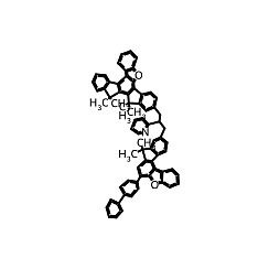 CC1(C)c2cc(CC(Cc3ccc4c(c3)C(C)(C)c3c5c(c6c(oc7ccccc76)c3-4)-c3ccccc3C5(C)C)c3ccccn3)ccc2-c2c1cc(-c1ccc(-c3ccccc3)cc1)c1oc3ccccc3c21